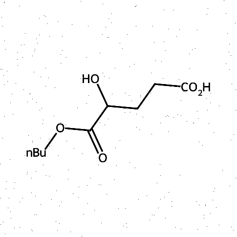 CCCCOC(=O)C(O)CCC(=O)O